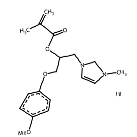 C=C(C)C(=O)OC(COc1ccc(OC)cc1)CN1C=CN(C)C1.I